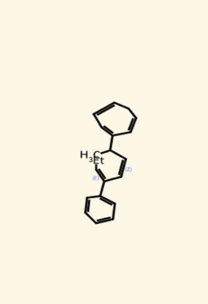 CC/C=C(\C=C/C(C)C1=CC=CCC=C1)c1ccccc1